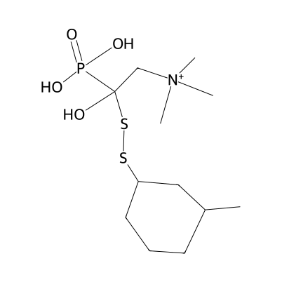 CC1CCCC(SSC(O)(C[N+](C)(C)C)P(=O)(O)O)C1